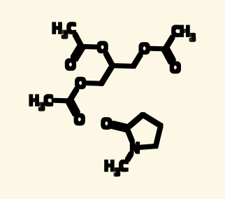 CC(=O)OCC(COC(C)=O)OC(C)=O.CN1CCCC1=O